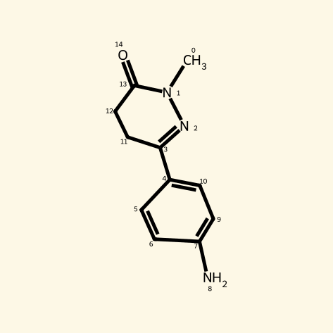 CN1N=C(c2ccc(N)cc2)CCC1=O